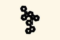 C1=CCC(n2c3ccccc3c3c4c(ccc32)c2ccccc2n4-c2cccc(-c3cccc4ccccc34)n2)C=C1